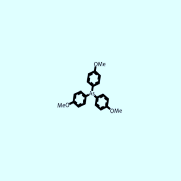 COc1ccc([As](c2ccc(OC)cc2)c2ccc(OC)cc2)cc1